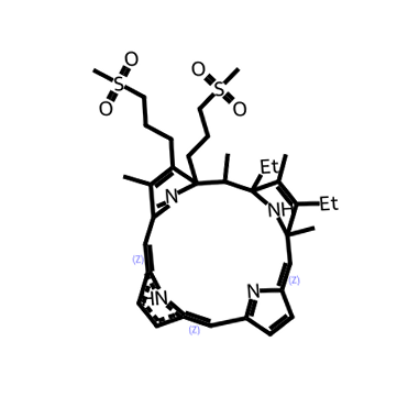 CCC1=C(C)C2(CC)NC1(C)/C=C1/C=CC(=N1)/C=c1/cc/c([nH]1)=C/C1=NC(CCCS(C)(=O)=O)(C(CCCS(C)(=O)=O)=C1C)C2C